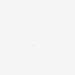 CC1(C)OB(c2ccc(CCNS(=O)(=O)c3cccs3)cc2)OC1(C)C